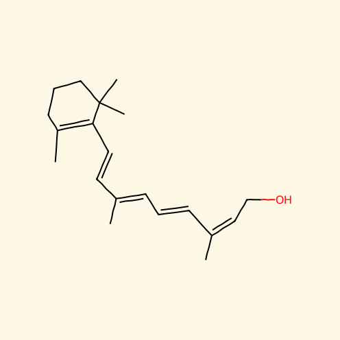 CC(C=CC1=C(C)CCCC1(C)C)=CC=C/C(C)=C\CO